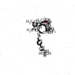 CCC(=O)/N=C1\[C@H](C)C[C@@]2(C)OC/C(=N/OCc3ccc(-c4nc(NP(=O)(O)O)cs4)cn3)CO[C@H]([C@H]1C)[C@](C)(O)[C@@H](CC)OC(=O)[C@@](C)(F)C(=O)[C@H](C)[C@H]2O[C@@H]1O[C@H](C)C[C@H](N(C)C)[C@H]1O